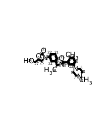 Cc1ccc(N2CCN(C)CC2)cc1C(=O)N[C@H](C)c1cccc(N2CC(CO)OC2=O)c1